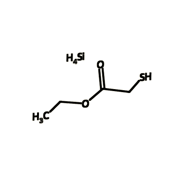 CCOC(=O)CS.[SiH4]